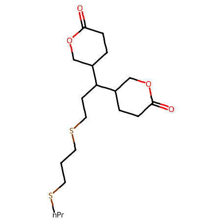 CCCSCCCSCCC(C1CCC(=O)OC1)C1CCC(=O)OC1